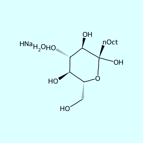 CCCCCCCC[C@@]1(O)O[C@H](CO)[C@@H](O)[C@H](O)[C@H]1O.O.[NaH]